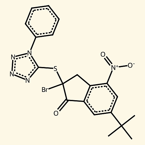 CC(C)(C)c1cc2c(c([N+](=O)[O-])c1)CC(Br)(Sc1nnnn1-c1ccccc1)C2=O